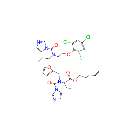 C=CCCCOC(=O)C(CC)N(Cc1ccco1)C(=O)n1ccnc1.CCCN(CCOc1c(Cl)cc(Cl)cc1Cl)C(=O)n1ccnc1